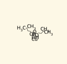 CC(C)CCOP(=O)(O)OCCC(C)C.[Cu]